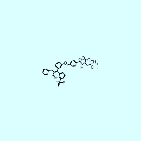 CC(C)CC(NC(=O)c1ccc(COc2cccc(-c3c(Cc4ccccc4)cnc4c(C(F)(F)F)cccc34)c2)cc1)C(=O)O